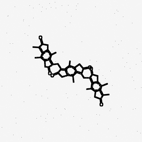 CC1=c2c(C)c3c(c(C)c2CC1=O)=C(CC1=c2c(C)c4c(c(C)c2CC1=O)=C(CC1=c2c(C)c5c(c(C)c2CC1=O)=C(C)C(=O)C5)C(=O)C4)C(=O)C3